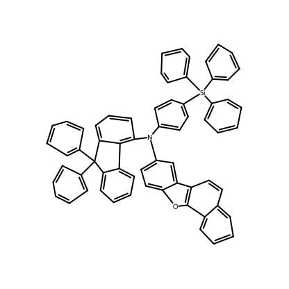 c1ccc(C2(c3ccccc3)c3ccccc3-c3c(N(c4ccc([Si](c5ccccc5)(c5ccccc5)c5ccccc5)cc4)c4ccc5oc6c7ccccc7ccc6c5c4)cccc32)cc1